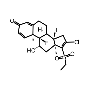 CCS(=O)(=O)C1=C(Cl)C[C@H]2[C@@H]3CCC4=CC(=O)C=C[C@]4(C)[C@@]3(F)[C@@H](O)C[C@]12C